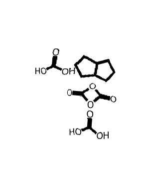 C1CC2CCCC2C1.O=C(O)O.O=C(O)O.O=C1OC(=O)O1